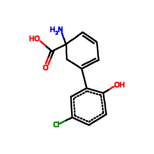 NC1(C(=O)O)C=CC=C(c2cc(Cl)ccc2O)C1